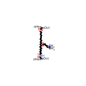 CCCCCCCCC(CCCCCC)C(=O)OCCCCCCCCCC(CCCCCCCCCNC(O)C(CCCCCC)CCCCCCCC)OC(=O)CCCCN(C)C